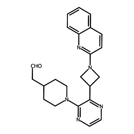 O=CCC1CCN(c2nccnc2C2CN(c3ccc4ccccc4n3)C2)CC1